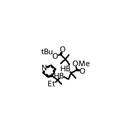 CCC(C)(BCC(C)(BCC(C)(C)C(=O)OC(C)(C)C)C(=O)OC)c1ccncc1